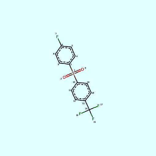 O=S(=O)(c1ccc(F)cc1)c1ccc(C(F)(F)F)cc1